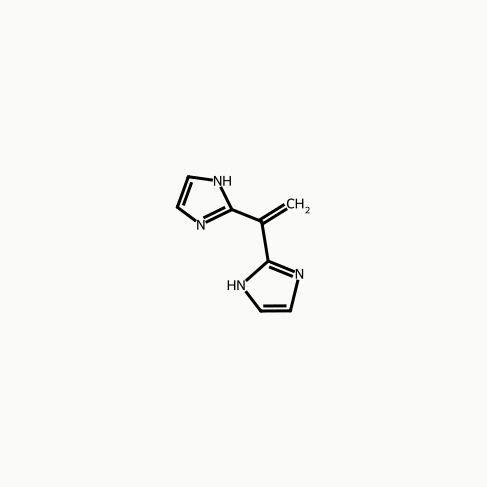 C=C(c1ncc[nH]1)c1ncc[nH]1